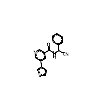 N#CC(NC(=O)c1cncc(-c2ccsc2)c1)c1ccccc1